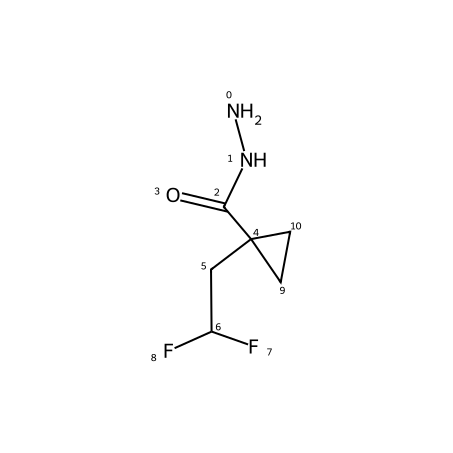 NNC(=O)C1(CC(F)F)CC1